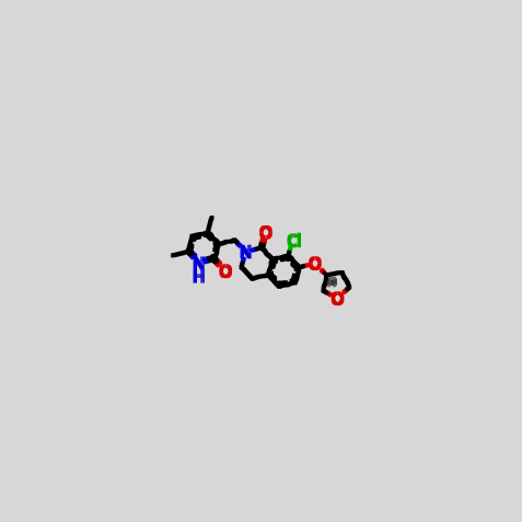 Cc1cc(C)c(CN2CCc3ccc(O[C@H]4CCOC4)c(Cl)c3C2=O)c(=O)[nH]1